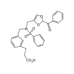 O=C(O)CCc1cccc(CN(CC2=COC(C(=O)c3ccccc3)O2)S(=O)(=O)c2ccccc2)c1